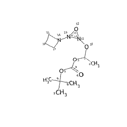 CC(OC(=O)OC(C)(C)C)On1on1N1CCC1